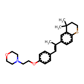 CC(=Cc1ccc(OCCN2CCOCC2)cc1)c1ccc2c(c1)C(C)(C)CCS2